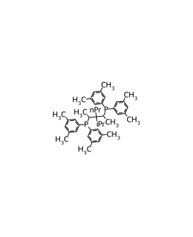 CCCC(C(C)C)(C(C)P(c1cc(C)cc(C)c1)c1cc(C)cc(C)c1)C(C)P(c1cc(C)cc(C)c1)c1cc(C)cc(C)c1